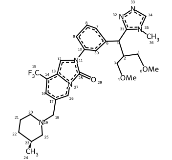 COCC(COC)C(c1cccc(-n2cc3c(C(F)(F)F)cc(CN4CCC[C@H](C)C4)cn3c2=O)c1)c1nncn1C